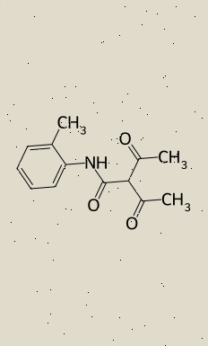 CC(=O)C(C(C)=O)C(=O)Nc1ccccc1C